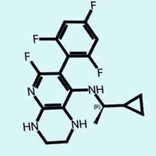 C[C@@H](Nc1c2c(nc(F)c1-c1c(F)cc(F)cc1F)NCCN2)C1CC1